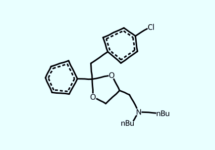 CCCCN(CCCC)CC1COC(Cc2ccc(Cl)cc2)(c2ccccc2)O1